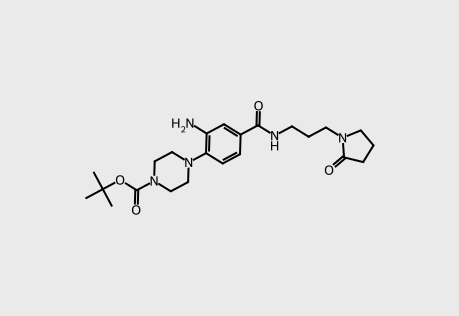 CC(C)(C)OC(=O)N1CCN(c2ccc(C(=O)NCCCN3CCCC3=O)cc2N)CC1